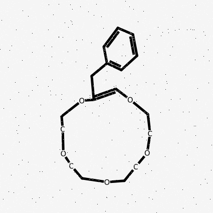 C1=C(Cc2ccccc2)OCCOCCOCCOCCO1